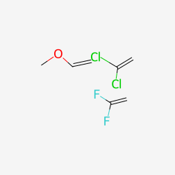 C=C(Cl)Cl.C=C(F)F.C=COC